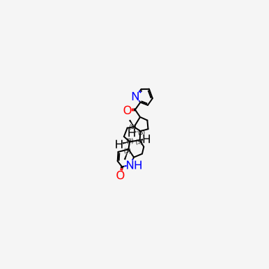 C[C@]12C=CC(=O)NC1CC[C@@H]1[C@H]2CC[C@]2(C)C(C(=O)c3ccccn3)CC[C@@H]12